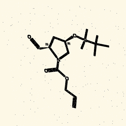 C=CCOC(=O)N1C[C@H](O[Si](C)(C)C(C)(C)C)C[C@H]1C=O